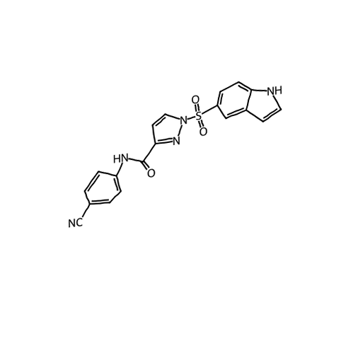 N#Cc1ccc(NC(=O)c2ccn(S(=O)(=O)c3ccc4[nH]ccc4c3)n2)cc1